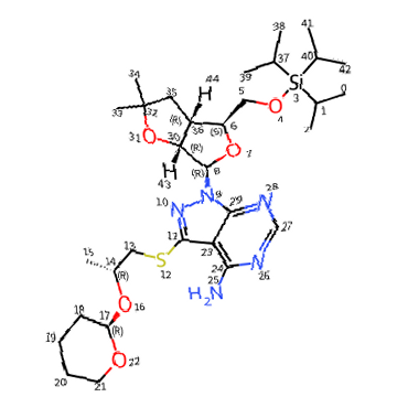 CC(C)[Si](OC[C@H]1O[C@@H](n2nc(SC[C@@H](C)O[C@@H]3CCCCO3)c3c(N)ncnc32)[C@@H]2OC(C)(C)C[C@@H]21)(C(C)C)C(C)C